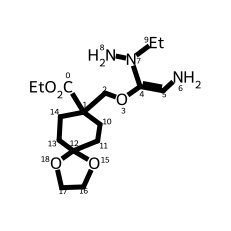 CCOC(=O)C1(CO/C(=C/N)N(N)CC)CCC2(CC1)OCCO2